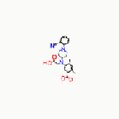 COC(=O)c1cc(N(CC(=O)O)C2CCN(c3ccccc3C#N)CC2)c(C)cc1C